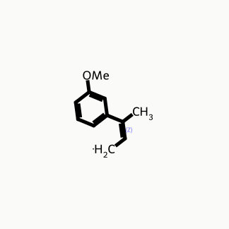 [CH2]/C=C(/C)c1cccc(OC)c1